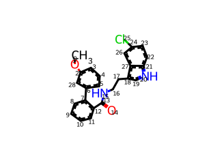 COc1cccc(-c2ccccc2C(=O)NCCc2c[nH]c3ccc(Cl)cc23)c1